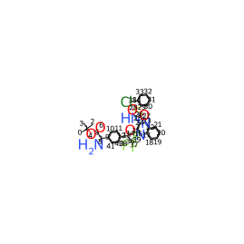 CC(C)(C)OC(=O)C(N)c1ccc(C(Oc2nc3ccccc3nc2NS(=O)(=O)c2ccccc2Cl)C(F)(F)F)cc1